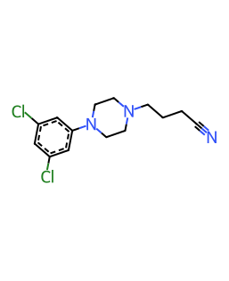 N#CCCCN1CCN(c2cc(Cl)cc(Cl)c2)CC1